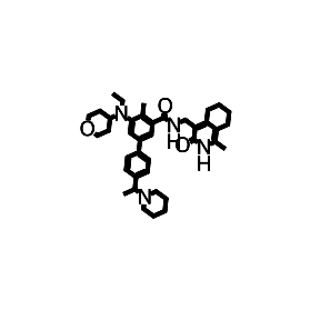 CCN(c1cc(-c2ccc(C(C)N3CCCCC3)cc2)cc(C(=O)NCc2c3c(c(C)[nH]c2=O)CCCC3)c1C)C1CCOCC1